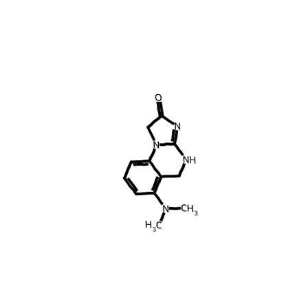 CN(C)c1cccc2c1CNC1=NC(=O)CN12